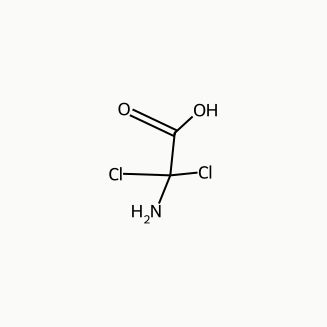 NC(Cl)(Cl)C(=O)O